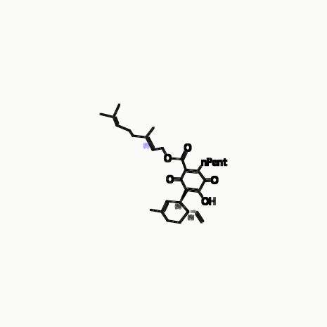 C=C[C@@H]1CCC(C)=C[C@H]1C1=C(O)C(=O)C(CCCCC)=C(C(=O)OC/C=C(\C)CCC=C(C)C)C1=O